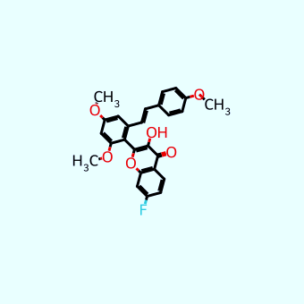 COc1ccc(/C=C/c2cc(OC)cc(OC)c2-c2oc3cc(F)ccc3c(=O)c2O)cc1